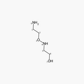 NCCONCCO